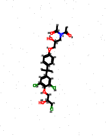 CC(=O)N(C[C@H](O)COc1ccc(C(C)(C)c2cc(Cl)c(OC[C@H](O)CCl)c(Cl)c2)cc1)C(C)=O